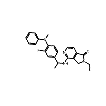 CCN1Cc2c(ccnc2NC(C)c2ccc(N(C)c3ccccc3)c(F)c2)C1=O